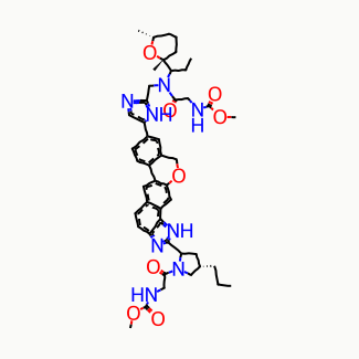 CCC[C@H]1CC(c2nc3ccc4cc5c(cc4c3[nH]2)OCc2cc(-c3cnc(CN(C(=O)CNC(=O)OC)C(CC)[C@@]4(C)CCC[C@@H](C)O4)[nH]3)ccc2-5)N(C(=O)CNC(=O)OC)C1